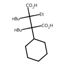 CCCCC(CC)(C(=O)O)C(CCCC)(C(=O)O)C1CCCCC1